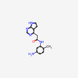 Cc1ccc(N)cc1NC(=O)Cc1ncnc2[nH]ccc12